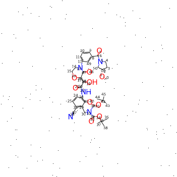 CO[C@H]1CCN(C(=O)c2cccc(N3CCO[C@H]([C@@H](O)C(=O)Nc4ccc(C#N)c(CN(C(=O)OC(C)(C)C)C(=O)OC(C)(C)C)c4)C3=O)c2)C1